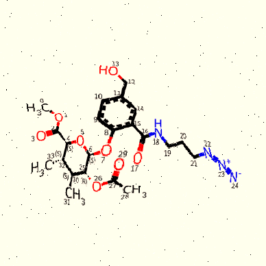 COC(=O)[C@H]1O[C@@H](Oc2ccc(CO)cc2C(=O)NCCCN=[N+]=[N-])[C@H](OC(C)=O)[C@@H](C)[C@@H]1C